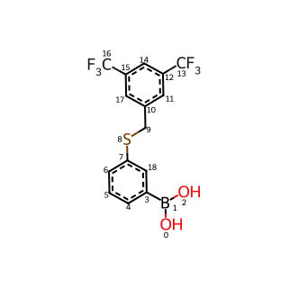 OB(O)c1cccc(SCc2cc(C(F)(F)F)cc(C(F)(F)F)c2)c1